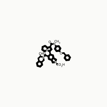 C[C@@H]1Cc2ccccc2CN1C(=O)c1cc2cn(C(=O)O)cc2cc1-c1cc(C(=O)N(C)c2ccc(OCc3ccccc3)cc2)c2ccccn12